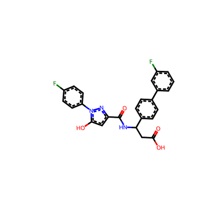 O=C(O)CC(NC(=O)c1cc(O)n(-c2ccc(F)cc2)n1)c1ccc(-c2cccc(F)c2)cc1